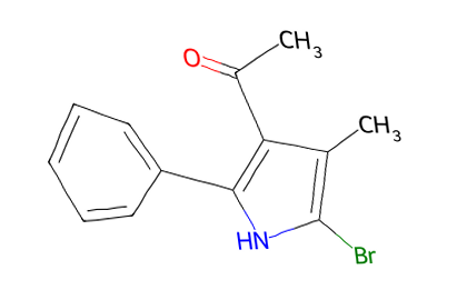 CC(=O)c1c(-c2ccccc2)[nH]c(Br)c1C